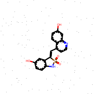 O=S1(=O)Nc2ccc(O)cc2C1=Cc1ccnc2cc(O)ccc12